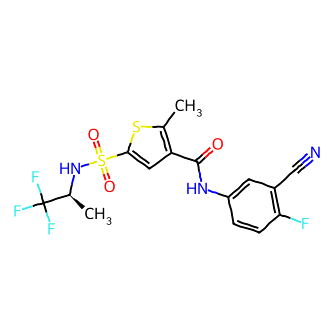 Cc1sc(S(=O)(=O)N[C@@H](C)C(F)(F)F)cc1C(=O)Nc1ccc(F)c(C#N)c1